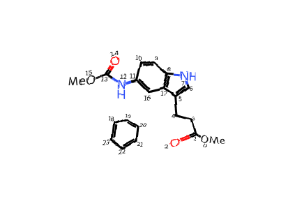 COC(=O)CCc1c[nH]c2ccc(NC(=O)OC)cc12.c1ccccc1